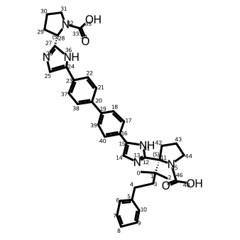 CC(C)(CCc1ccccc1)[C@]1(c2ncc(-c3ccc(-c4ccc(-c5cnc([C@@H]6CCCN6C(=O)O)[nH]5)cc4)cc3)[nH]2)CCCN1C(=O)O